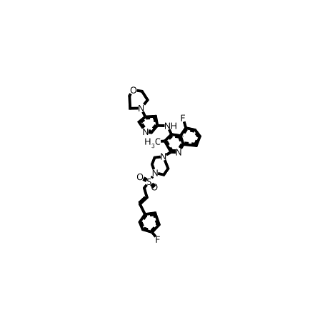 Cc1c(N2CCN(S(=O)(=O)CC=Cc3ccc(F)cc3)CC2)nc2cccc(F)c2c1Nc1cncc(N2CCOCC2)c1